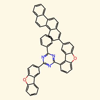 c1ccc(-c2nc(-c3ccc4oc5ccccc5c4c3)nc(-c3cccc4oc5ccc(-c6ccc7c(ccc8c9ccccc9ccc78)c6)cc5c34)n2)cc1